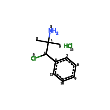 CC(C)(N)C(Cl)c1ccccc1.Cl